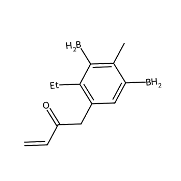 Bc1cc(CC(=O)C=C)c(CC)c(B)c1C